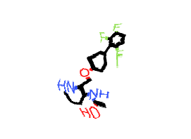 CC(O)NC1CCCNC1COC1CCC(c2c(F)ccc(F)c2F)CC1